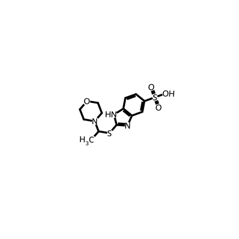 CC(Sc1nc2cc(S(=O)(=O)O)ccc2[nH]1)N1CCOCC1